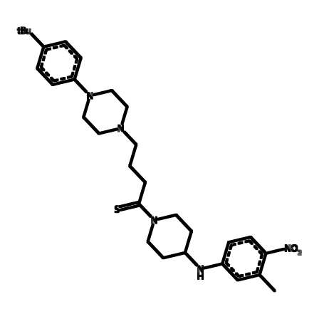 Cc1cc(NC2CCN(C(=S)CCCN3CCN(c4ccc(C(C)(C)C)cc4)CC3)CC2)ccc1[N+](=O)[O-]